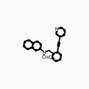 O=CN(Cc1ccccc1C#Cc1cccnc1)c1ccc2ccccc2c1